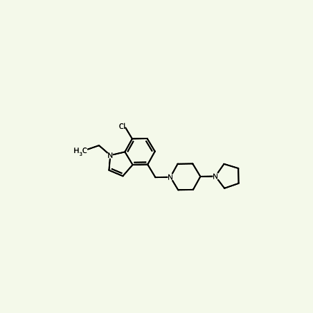 CCn1ccc2c(CN3CCC(N4CCCC4)CC3)ccc(Cl)c21